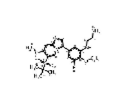 COc1cc2ncc(-c3cc(F)c(OC)c(NCCN)c3)n2cc1S(=O)(=O)C(C)(C)C